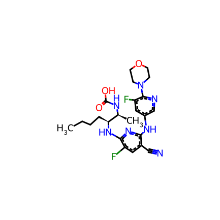 CCCC[C@H](Nc1nc(Nc2cnc(N3CCOCC3)c(F)c2)c(C#N)cc1F)[C@H](C)NC(=O)O